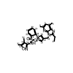 CCc1nc2c(C)cc(C)nc2n1Cc1cnn(-c2ccccc2S(=O)(=O)Nc2noc(C)c2C)c1